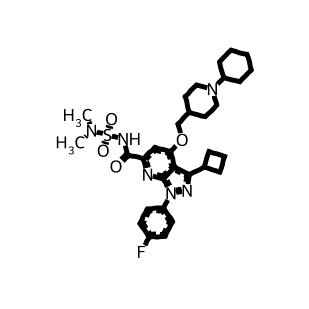 CN(C)S(=O)(=O)NC(=O)c1cc(OCC2CCN(C3CCCCC3)CC2)c2c(C3CCC3)nn(-c3ccc(F)cc3)c2n1